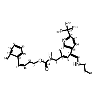 CCCN/C=C(\C=C(/C)CNC(=O)OCC/C=C\c1ccccc1C)c1ccc(C(F)(F)F)nc1